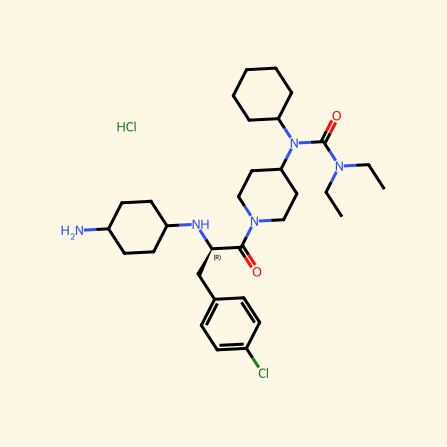 CCN(CC)C(=O)N(C1CCCCC1)C1CCN(C(=O)[C@@H](Cc2ccc(Cl)cc2)NC2CCC(N)CC2)CC1.Cl